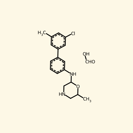 Cc1cc(Cl)cc(-c2cccc(NC3CNCC(C)O3)c2)c1.O=CO